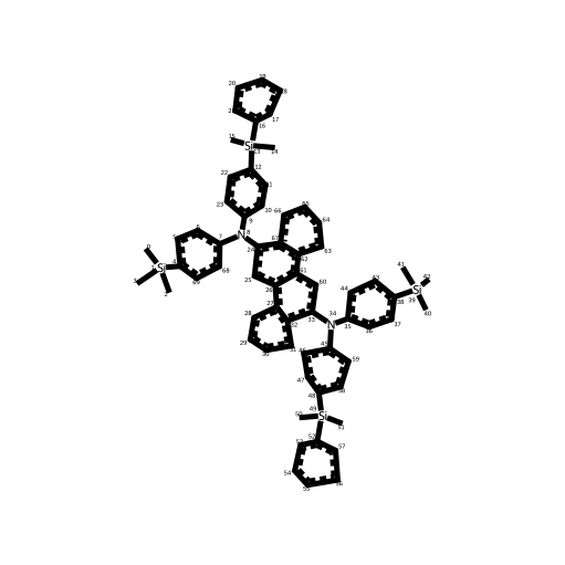 C[Si](C)(C)c1ccc(N(c2ccc([Si](C)(C)c3ccccc3)cc2)c2cc3c4ccccc4c(N(c4ccc([Si](C)(C)C)cc4)c4ccc([Si](C)(C)c5ccccc5)cc4)cc3c3ccccc23)cc1